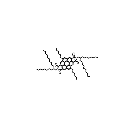 CCCCCCCCCCC(CCCCCCCC)Cn1c(=O)c2cc3cc(CCCCCC)c4cc5c(=S)n(CC(CCCCCCCC)CCCCCCCCCC)c(=S)c6cc7cc(CCCCCC)c8cc(c1=S)c2c1c3c4c(c65)c7c81